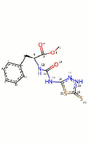 COC(=O)[C@H](Cc1ccccc1)NC(=O)Nc1n[nH]c(=S)s1